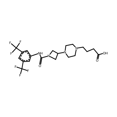 O=C(O)CCCN1CCN(C2CN(C(=O)Nc3cc(C(F)(F)F)cc(C(F)(F)F)c3)C2)CC1